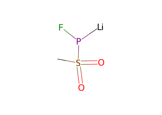 [Li][P](F)S(C)(=O)=O